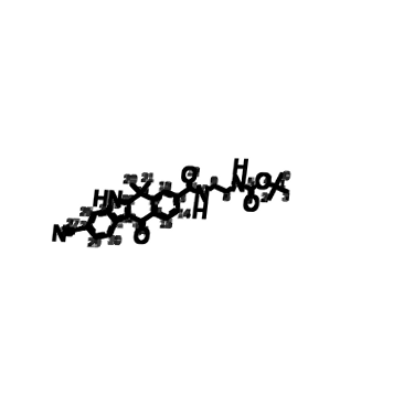 CC(C)(C)OC(=O)NCCNC(=O)c1ccc2c(c1)C(C)(C)c1[nH]c3cc(C#N)ccc3c1C2=O